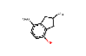 COc1ccc(O)c2c1CC(C)C2